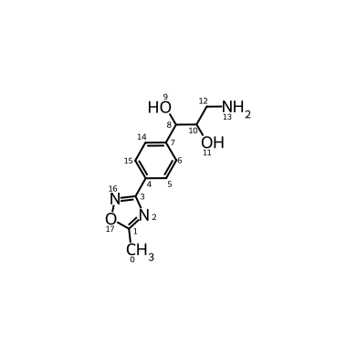 Cc1nc(-c2ccc(C(O)C(O)CN)cc2)no1